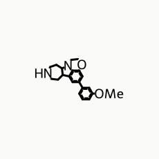 COc1cccc(-c2cc3c4c(c2)C2CCNCCC2N4CCO3)c1